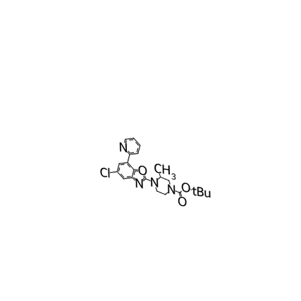 CC1CN(C(=O)OC(C)(C)C)CCN1c1nc2cc(Cl)cc(-c3ccccn3)c2o1